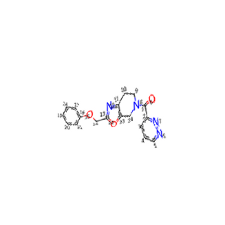 O=C(c1cccnn1)N1CCc2nc(COc3ccccc3)oc2C1